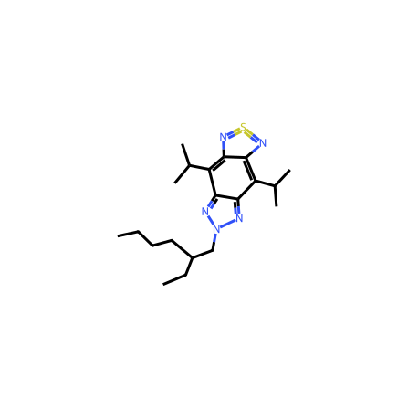 CCCCC(CC)Cn1nc2c(C(C)C)c3c(c(C(C)C)c2n1)N=S=N3